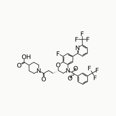 O=C(O)C1CCN(C(=O)CC[C@H]2CN(S(=O)(=O)c3cccc(C(F)(F)F)c3)c3cc(-c4cccc(C(F)(F)F)n4)cc(F)c3O2)CC1